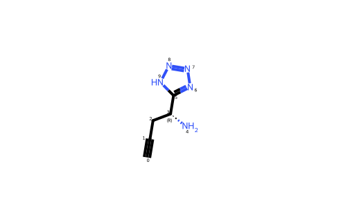 C#CC[C@@H](N)c1nnn[nH]1